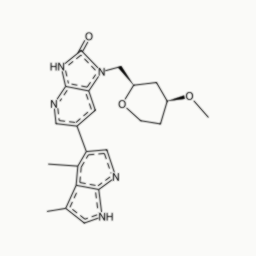 CO[C@H]1CCO[C@@H](Cn2c(=O)[nH]c3ncc(-c4cnc5[nH]cc(C)c5c4C)cc32)C1